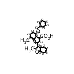 Cc1oc2ccccc2c1-c1cc(C(=O)O)c2c(OCc3ccccc3)ccc(C)c2n1